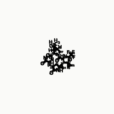 CC1(C)[C@@H]2[C@@H](C(=O)N[C@@H](C[C@@H]3CC4(CC4)NC3=O)C(N)=O)N(C(=O)[C@H](CC3(F)CC3)NC(=O)C(F)(F)F)C[C@@H]21